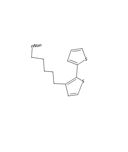 CCCCCCCCCCCCCCc1ccsc1-c1cccs1